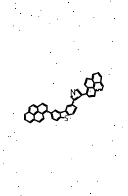 c1cc2ccc3ccc(-c4cncc(-c5ccc6sc7ccc(-c8ccc9ccc%10cccc%11ccc8c9c%10%11)cc7c6c5)c4)c4ccc(c1)c2c34